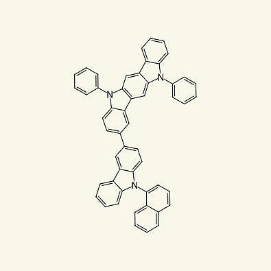 c1ccc(-n2c3ccccc3c3cc4c(cc32)c2cc(-c3ccc5c(c3)c3ccccc3n5-c3cccc5ccccc35)ccc2n4-c2ccccc2)cc1